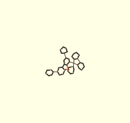 c1ccc(-c2ccc3sc4c(C5(c6ccccc6)c6ccccc6-c6ccccc65)cc(-c5ccccc5)cc4c3c2)cc1